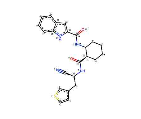 N#C[C@H](Cc1ccsc1)NC(=O)[C@@H]1CCCCC1NC(=O)c1cc2ccccc2[nH]1